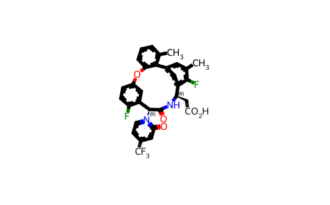 Cc1cc2cc(c1F)[C@@H](CC(=O)O)NC(=O)[C@H](n1ccc(C(F)(F)F)cc1=O)c1cc(ccc1F)Oc1cccc(C)c1-2